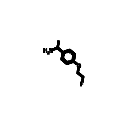 CC(N)c1ccc(OCCF)cc1